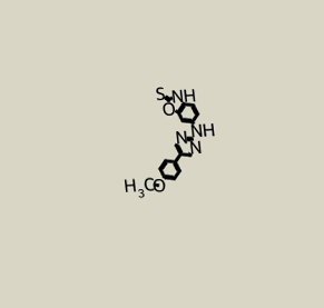 COc1ccc(-c2cnc(Nc3ccc4[nH]c(=S)oc4c3)nc2)cc1